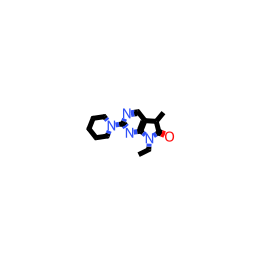 CCN1C(=O)C(C)c2cnc(N3CCCCC3)nc21